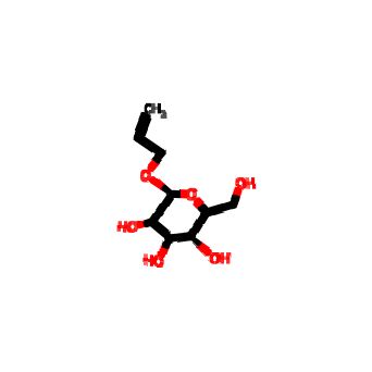 C=CCO[C@H]1OC(CO)[C@@H](O)C(O)C1O